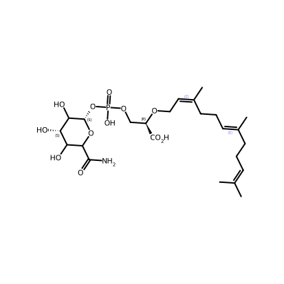 CC(C)=CCC/C(C)=C/CC/C(C)=C\CO[C@H](COP(=O)(O)O[C@@H]1OC(C(N)=O)C(O)[C@H](O)C1O)C(=O)O